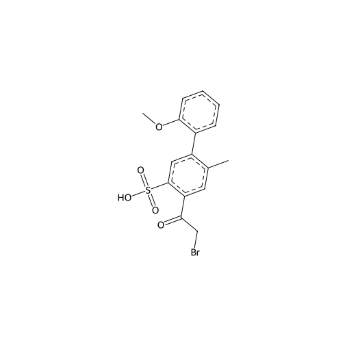 COc1ccccc1-c1cc(S(=O)(=O)O)c(C(=O)CBr)cc1C